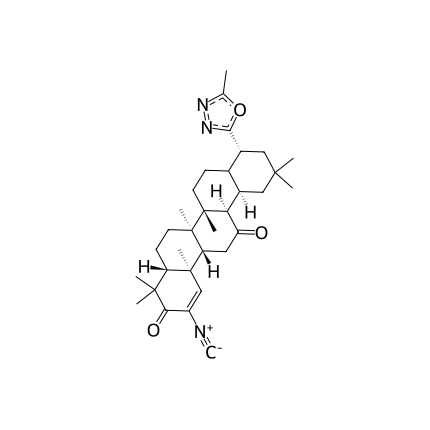 [C-]#[N+]C1=C[C@]2(C)[C@H]3CC(=O)[C@@H]4[C@@H]5CC(C)(C)C[C@@H](c6nnc(C)o6)C5CC[C@@]4(C)[C@]3(C)CC[C@H]2C(C)(C)C1=O